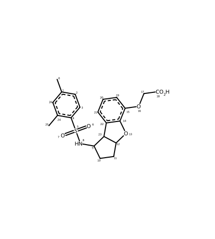 Cc1ccc(S(=O)(=O)NC2CCC3Oc4c(OCC(=O)O)cccc4C23)c(C)c1